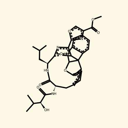 COC(=O)c1coc(-c2nc3oc2C24c5ccccc5NC2Oc2ccc(cc24)C[C@H](NC(=O)[C@@H](O)C(C)C)C(=O)N[C@H]3CC(C)C)n1